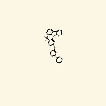 CC1(C)c2ccc(Oc3cccc(-c4ccccn4)c3)cc2-n2c3ncccc3c3cccc1c32